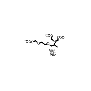 CC(COCCOCC(=O)[O-])N(CC(=O)[O-])CC(=O)[O-].[Na+].[Na+].[Na+]